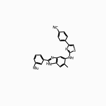 Cc1cc2[nH]c(-c3cccc(C(C)(C)C)c3)nc2cc1Nc1nc(-c2ccc(C#N)cc2)cs1